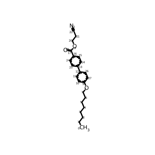 CCCCCCCCOc1ccc(-c2ccc(C(=O)OCCC#N)cc2)cc1